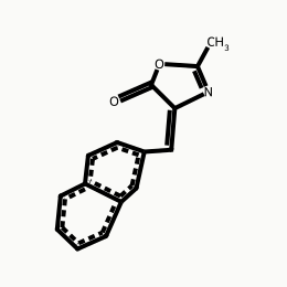 CC1=N/C(=C/c2ccc3ccccc3c2)C(=O)O1